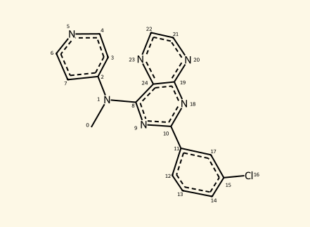 CN(c1ccncc1)c1nc(-c2cccc(Cl)c2)nc2nccnc12